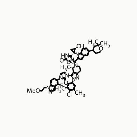 COCCn1ncc2c(F)c(-n3ccn(-c4c5c(nn4-c4cc(C)c(Cl)c(C)c4)CCN(C(=O)c4cc6cc(C7CCOC(C)(C)C7)ccc6n4[C@@]4(c6noc(=O)[nH]6)C[C@@H]4C)[C@H]5C)c3=O)ccc21